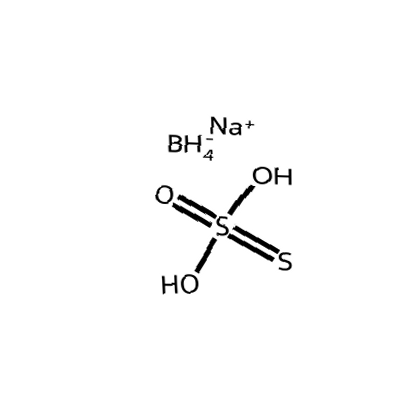 O=S(O)(O)=S.[BH4-].[Na+]